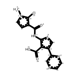 Cn1ccc(C(=O)Nc2scc(-c3cnccn3)c2C(=O)O)c1Cl